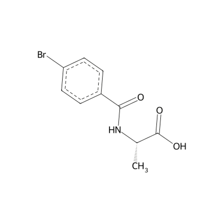 C[C@H](NC(=O)c1ccc(Br)cc1)C(=O)O